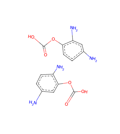 Nc1ccc(N)c(OC(=O)O)c1.Nc1ccc(OC(=O)O)c(N)c1